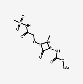 C[C@H]1[C@H](NC(=O)OC(C)(C)C)C(=O)N1OCC(=O)NS(C)(=O)=O